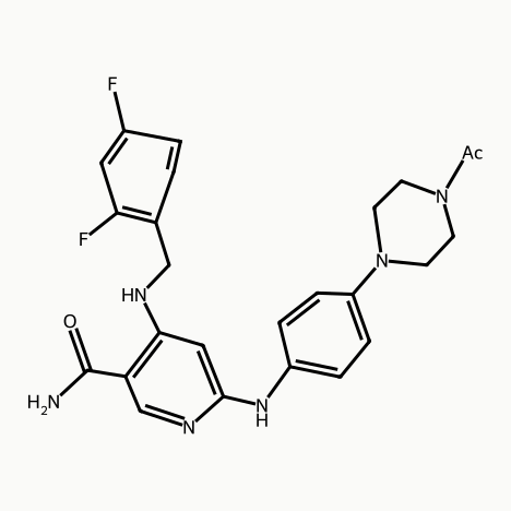 CC(=O)N1CCN(c2ccc(Nc3cc(NCc4ccc(F)cc4F)c(C(N)=O)cn3)cc2)CC1